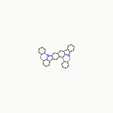 c1ccc2c(c1)Cn1c3ccccc3c3cc4cc5c(cc4c-2c31)c1cccc2c1n5-c1ccccc1C2